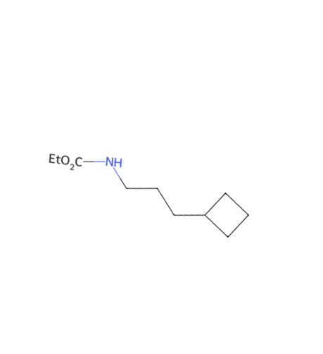 CCOC(=O)NCCCC1CCC1